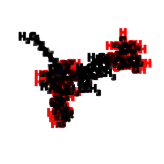 CCCCCCCCCCCC(=O)N[C@H]1C(CO)O[C@@H](OC(=O)[C@]23CCC(C)(C)CC2C2=CCC4C5(C)CC[C@H](O[C@@H]6OC[C@@H](O)[C@H](O[C@@H]7OC[C@@H](O)[C@H](O)C7O)C6O[C@@H]6OC(CO)[C@H](O)[C@H](O)C6O)[C@](C)(C=O)[C@@H]5CC[C@]4(C)[C@]2(C)CC3O)[C@H](O[C@@H]2OC(C)[C@H](O[C@@H]3OC[C@@H](O)C(O[C@@H]4OC[C@@](O)(CO)C4O)[C@H]3O)C(O)[C@@H]2O)C1O[C@@H]1OC(C)[C@H](O)[C@H](O)C1O